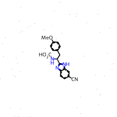 COc1ccc(CC(NC(=O)O)c2nc3ccc(C#N)cc3[nH]2)cc1